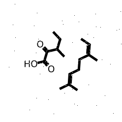 CC=C(C)CCC=C(C)C.CCC(C)C(=O)C(=O)O